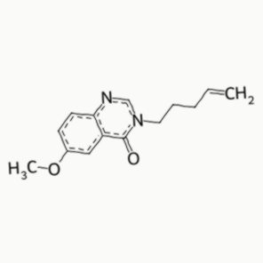 C=CCCCn1cnc2ccc(OC)cc2c1=O